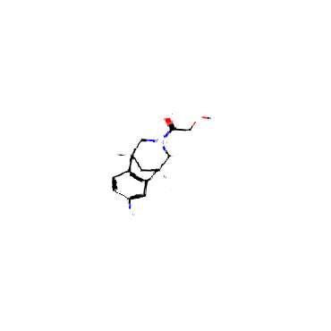 COCC(=O)N1C[C@H]2C[C@@H](C1)c1ccc(N)cc12